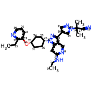 CCNc1cc2c(cn1)c(-c1cnn(C(C)(C)C#N)c1)nn2[C@H]1CC[C@@H](Oc2cccnc2CC)CC1